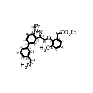 CCOC(=O)Cc1cccc(C)c1OCc1nn(C(C)C)c2ccc(-c3cccc(CN)c3)cc12